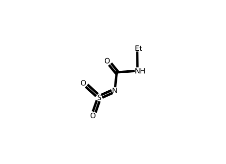 CCNC(=O)N=S(=O)=O